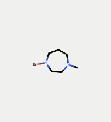 CN1CCCN(Br)CC1